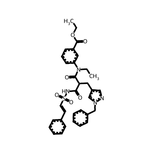 CCOC(=O)c1cccc(N(CC)C(=O)C(Cc2cnn(Cc3ccccc3)c2)C(=O)NS(=O)(=O)C=Cc2ccccc2)c1